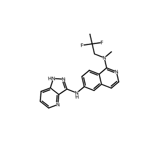 CN(CC(C)(F)F)c1nccc2cc(Nc3n[nH]c4cccnc34)ccc12